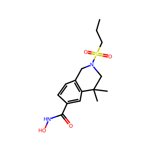 CCCS(=O)(=O)N1Cc2ccc(C(=O)NO)cc2C(C)(C)C1